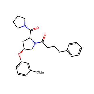 COc1cccc(O[C@H]2C[C@@H](C(=O)N3CCCC3)N(C(=O)CCCc3ccccc3)C2)c1